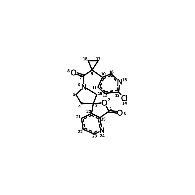 O=C1O[C@]2(CCN(C(=O)C3(c4ccc(Cl)nc4)CC3)C2)c2cccnc21